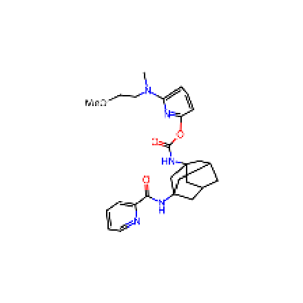 COCCN(C)c1cccc(OC(=O)NC23CC4CC(C2)CC(NC(=O)c2ccccn2)(C4)C3)n1